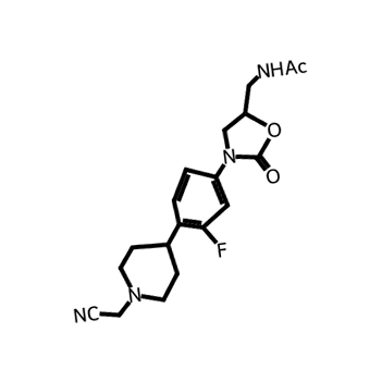 CC(=O)NCC1CN(c2ccc(C3CCN(CC#N)CC3)c(F)c2)C(=O)O1